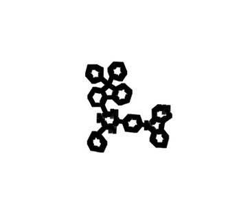 C1=C2C(=C(c3nc(-c4ccccc4)nc(-c4ccc(-n5c6ccccc6c6cnccc65)cc4)n3)CC1)c1ccccc1C2(c1ccccc1)c1ccccc1